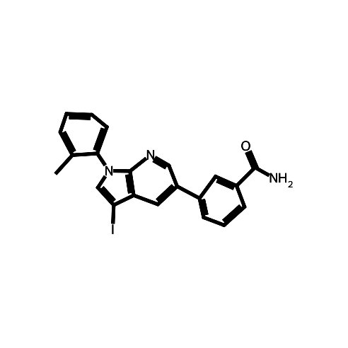 Cc1ccccc1-n1cc(I)c2cc(-c3cccc(C(N)=O)c3)cnc21